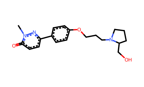 Cn1nc(-c2ccc(OCCCN3CCCC3CO)cc2)ccc1=O